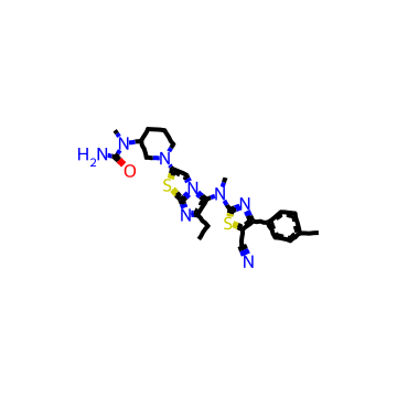 CCc1nc2sc(N3CCCC(N(C)C(N)=O)C3)cn2c1N(C)c1nc(-c2ccc(C)cc2)c(C#N)s1